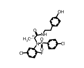 C[C@H](C(=O)NCCc1ccc(O)cc1)N(c1cc(Cl)ccc1F)S(=O)(=O)c1ccc(Cl)cc1